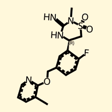 Cc1cccnc1OCc1ccc(F)c([C@@H]2CS(=O)(=O)N(C)C(=N)N2)c1